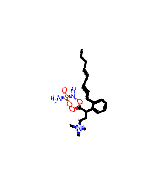 CCCCCCCCc1ccccc1C(CC[N+](C)(C)C)C(=O)ONS(N)(=O)=O